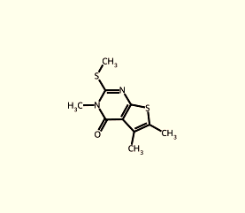 CSc1nc2sc(C)c(C)c2c(=O)n1C